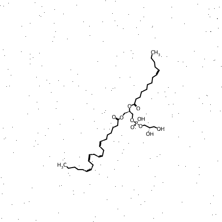 CCCC/C=C\CCCCCCCC(=O)O[C@H](COC(=O)CCCCC/C=C\C/C=C\C/C=C\C/C=C\CCCCC)COP(=O)(O)OC[C@@H](O)CO